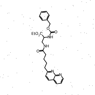 CCOC(=O)C(CNC(=O)CCCCc1ccc2cccnc2n1)NC(=O)OCc1ccccc1